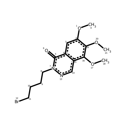 COc1cc2c(=O)n(CCCCBr)ncc2c(OC)c1OC